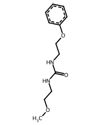 COCCNC(=O)NCCOc1cc[c]cc1